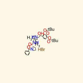 Br.CC(C)(CNC(=O)[C@@H]1CCCN1C(=O)c1ccccc1)NCC(O)c1ccc(OC(=O)C(C)(C)C)c(OC(=O)C(C)(C)C)c1